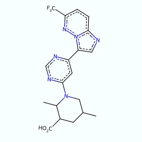 CC1CC(C(=O)O)C(C)N(c2cc(-c3cnc4ccc(C(F)(F)F)nn34)ncn2)C1